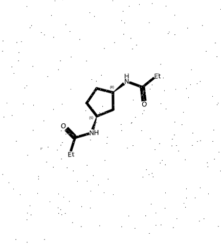 CCC(=O)N[C@@H]1CC[C@H](NC(=O)CC)C1